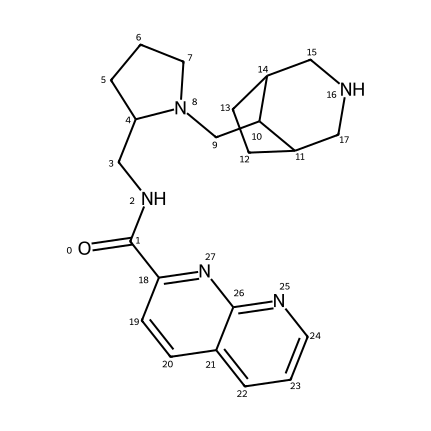 O=C(NCC1CCCN1CC1C2CCC1CNC2)c1ccc2cccnc2n1